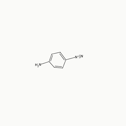 N#[N+]c1ccc(N)cc1